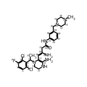 CC(c1c(Cl)ccc(F)c1Cl)N1CCNC(N)=C1/C=C(\N)CC(=O)Nc1cccc(CN2CCN(C)CC2)c1